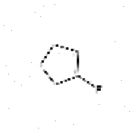 FC1=CC[CH]C1